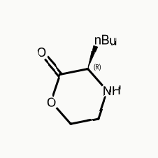 CCCC[C@H]1NCCOC1=O